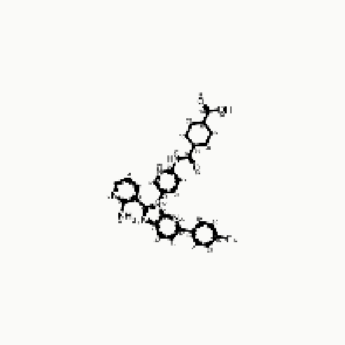 Nc1ncccc1-c1nc2ccc(-c3ccc(F)cc3)nc2n1-c1ccc(NC(=O)C2CCC(C(=O)O)CC2)nc1